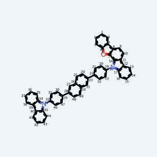 c1ccc2c(c1)oc1c2ccc2c3ccccc3n(-c3ccc(-c4ccc5cc(-c6ccc(-n7c8ccccc8c8ccccc87)cc6)ccc5c4)cc3)c21